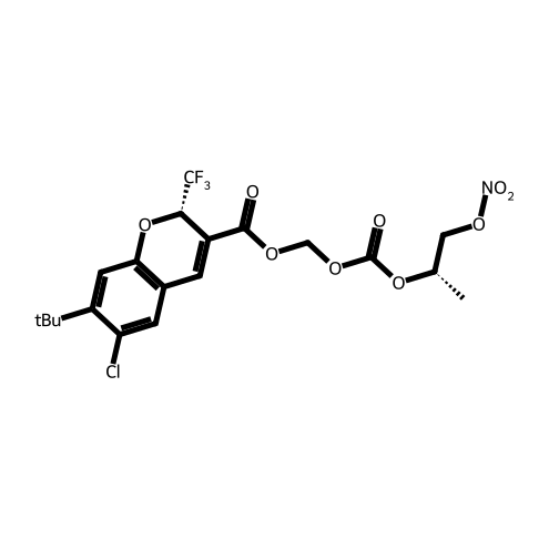 C[C@@H](CO[N+](=O)[O-])OC(=O)OCOC(=O)C1=Cc2cc(Cl)c(C(C)(C)C)cc2O[C@@H]1C(F)(F)F